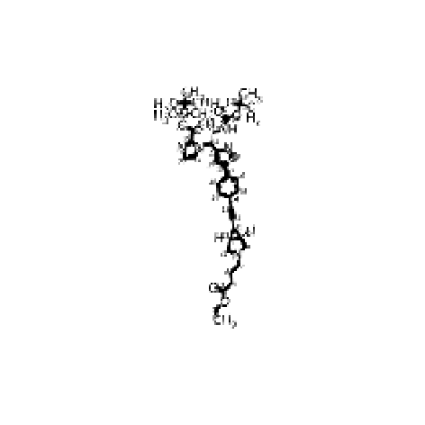 CCOC(=O)CCCN1C[C@@H]2[C@H](C#Cc3ccc(-c4cc([C@@H](CNC(=O)OC(C)(C)C)n5ccnc5[C@H](C)O[Si](C)(C)C(C)(C)C)no4)cc3)[C@@H]2C1